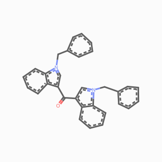 O=C(c1cn(Cc2ccccc2)c2ccccc12)c1cn(Cc2ccccc2)c2ccccc12